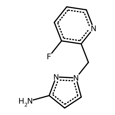 Nc1ccn(Cc2ncccc2F)n1